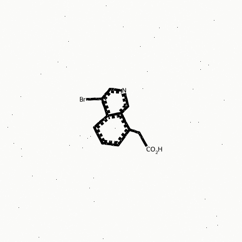 O=C(O)Cc1cccc2c(Br)cncc12